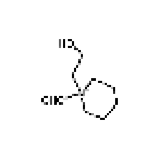 O=C[N+]1(CCO)CCCCC1